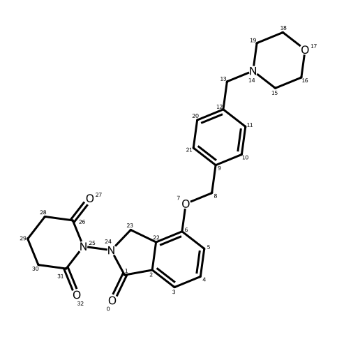 O=C1c2cccc(OCc3ccc(CN4CCOCC4)cc3)c2CN1N1C(=O)CCCC1=O